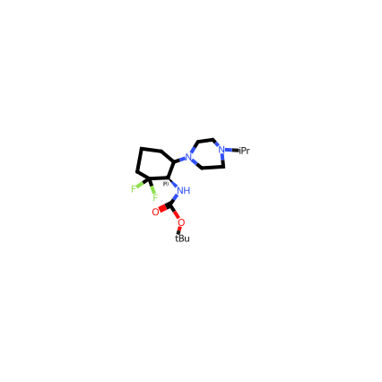 CC(C)N1CCN(C2CCCC(F)(F)[C@@H]2NC(=O)OC(C)(C)C)CC1